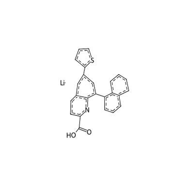 O=C(O)c1ccc2cc(-c3cccs3)cc(-c3cccc4ccccc34)c2n1.[Li]